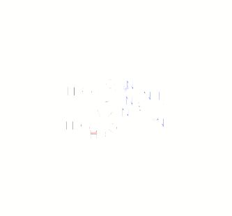 COc1cc(OC)c(C(=O)/C(=N\C2CCCC2)n2ncc(C#N)c2N)cc1OC